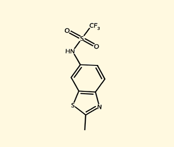 Cc1nc2ccc(NS(=O)(=O)C(F)(F)F)cc2s1